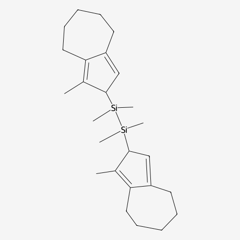 CC1=C2CCCCCC2=CC1[Si](C)(C)[Si](C)(C)C1C=C2CCCCCC2=C1C